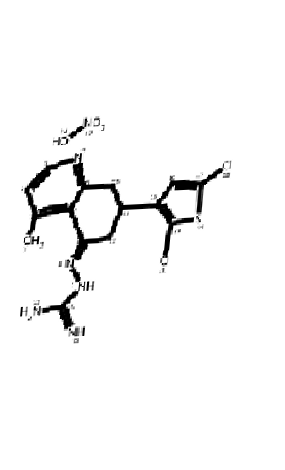 Cc1ccnc2c1C(=NNC(=N)N)CC(c1cc(Cl)sc1Cl)C2.O=[N+]([O-])O